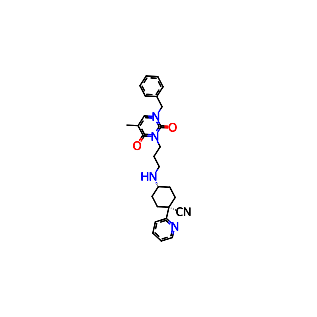 Cc1cn(Cc2ccccc2)c(=O)n(CCCN[C@H]2CC[C@](C#N)(c3ccccn3)CC2)c1=O